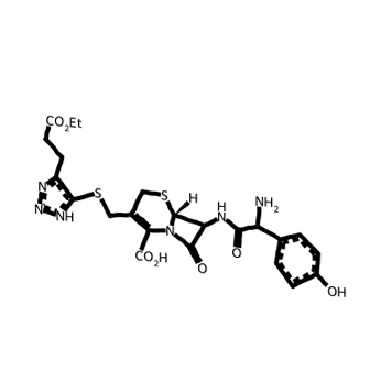 CCOC(=O)CCc1nn[nH]c1SCC1=C(C(=O)O)N2C(=O)C(NC(=O)C(N)c3ccc(O)cc3)[C@H]2SC1